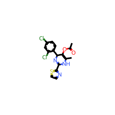 CC(=O)OC1=C(C)NC(c2nccs2)=NC1c1ccc(Cl)cc1Cl